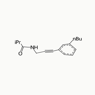 CCCCc1cccc(C#CCNC(=O)C(C)C)c1